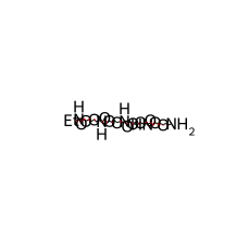 CCNC(=O)COCCOCCNC(=O)COCCOCCNC(=O)COCCOCCNC(=O)COCCOCCN